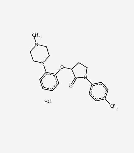 CN1CCN(c2ccccc2OC2CCN(c3ccc(C(F)(F)F)cc3)C2=O)CC1.Cl